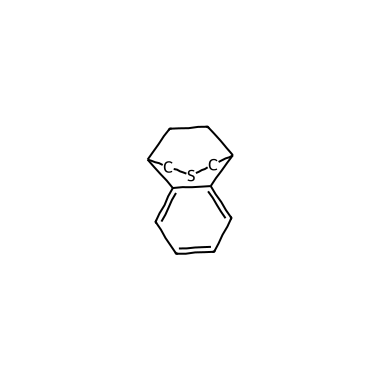 c1ccc2c(c1)C1CCC2CSC1